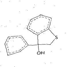 OC1(c2ccccc2)CSc2ccccc21